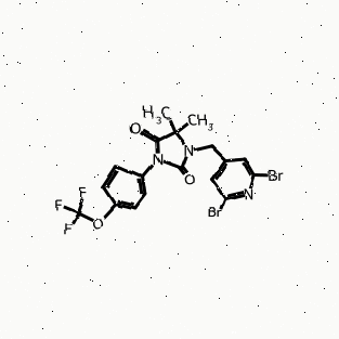 CC1(C)C(=O)N(c2ccc(OC(F)(F)F)cc2)C(=O)N1Cc1cc(Br)nc(Br)c1